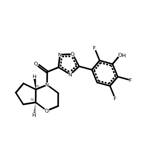 O=C(c1noc(-c2cc(F)c(F)c(O)c2F)n1)N1CCO[C@H]2CCC[C@@H]21